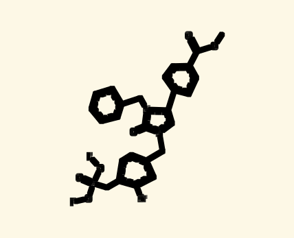 COC(=O)c1ccc(-c2cn(Cc3ccc(CP(=O)(OF)OF)c(Br)c3)c(=O)n2Cc2ccccc2)cc1